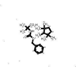 CC(C)(NC(=O)OCc1ccccc1)C(=O)O.CC1(C)CCC(C)(C)C1N